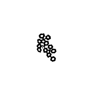 c1ccc(-c2ccc3c(c2)C(c2ccccc2)(c2ccccc2)c2cc(N(c4cccc5c4-c4ccccc4C5(c4ccccc4)c4ccccc4)c4cccc5ccccc45)ccc2-3)cc1